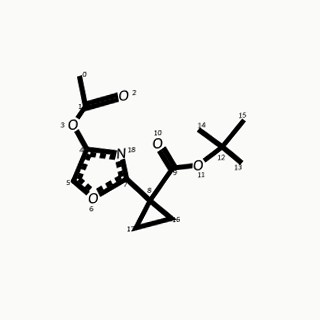 CC(=O)Oc1coc(C2(C(=O)OC(C)(C)C)CC2)n1